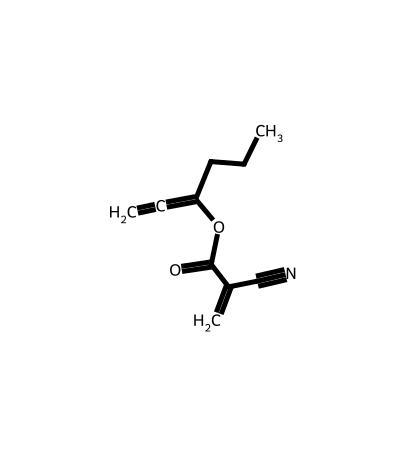 C=C=C(CCC)OC(=O)C(=C)C#N